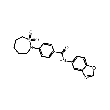 O=C(Nc1ccc2ocnc2c1)c1ccc(N2CCCCCS2(=O)=O)cc1